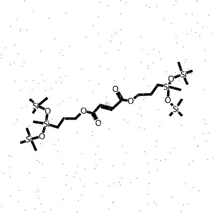 C[Si](C)(C)O[Si](C)(CCCOC(=O)/C=C/C(=O)OCCC[Si](C)(O[Si](C)(C)C)O[Si](C)(C)C)O[Si](C)(C)C